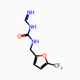 N=CNC(=O)NCc1ccc(C(F)(F)F)o1